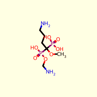 COC(CCCN)(P(=O)(O)O)P(=O)(O)OCN